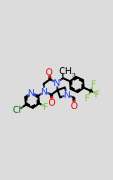 C[C@@H](c1ccc(C(F)(F)F)cc1)N1C(=O)CN(c2ncc(Cl)cc2F)C(=O)C12CN(C=O)C2